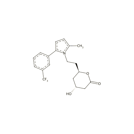 Cc1ccc(-c2cccc(C(F)(F)F)c2)n1CC[C@@H]1C[C@@H](O)CC(=O)O1